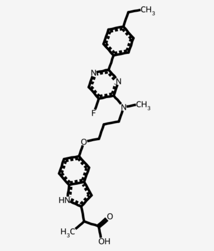 CCc1ccc(-c2ncc(F)c(N(C)CCCOc3ccc4[nH]c(C(C)C(=O)O)cc4c3)n2)cc1